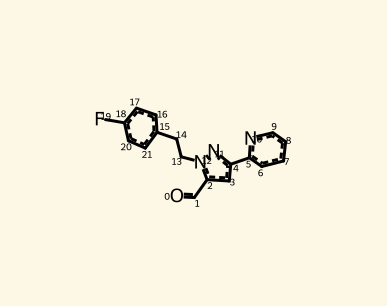 O=Cc1cc(-c2ccccn2)nn1CCc1ccc(F)cc1